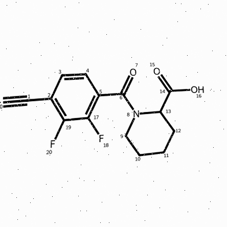 [C]#Cc1ccc(C(=O)N2CCCCC2C(=O)O)c(F)c1F